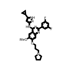 COc1cc2c(Nc3cc(C4CC4)[nH]n3)nc(-c3cc(F)cc(F)c3)nc2cc1OCCCN1CCCC1